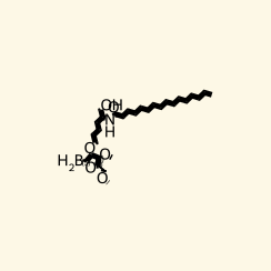 B[C@@H]1O[C@H](COC)[C@H](OC)C1OCCCCC(CO)NC(=O)CCCCCCCCCCCCCCC